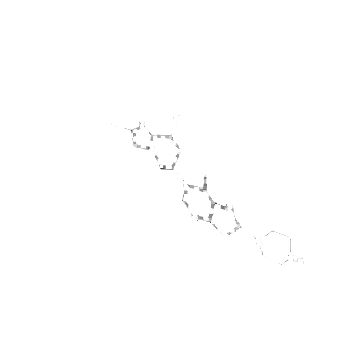 Cc1cn2cc(-n3cnc4sc(N5CCNCC5)nc4c3=O)cc(C(F)(F)F)c2n1